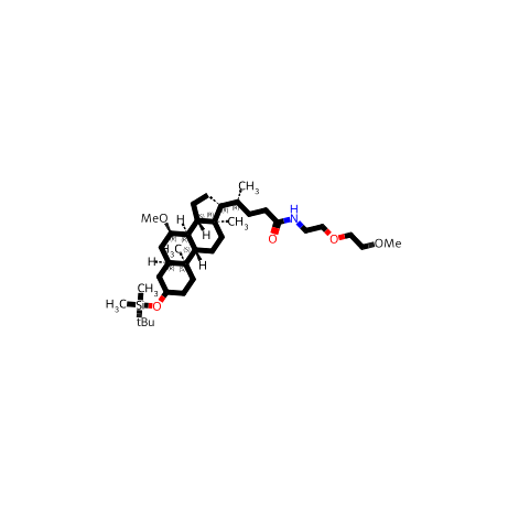 COCCOCCNC(=O)CC[C@@H](C)[C@H]1CC[C@H]2[C@@H]3[C@H](OC)C[C@@H]4CC(O[Si](C)(C)C(C)(C)C)CC[C@]4(C)[C@H]3CC[C@]12C